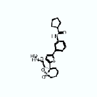 O=C(C[C@]1(c2ccc(-c3cccc(NC(=O)C4CCCC4)c3)s2)CCCCS1(=O)=O)NO